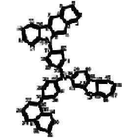 c1ccc2cc3c(cc2c1)c1ccccc1n3-c1ccc(N(c2ccc(-c3cccc4ccccc34)cc2)c2ccc3c(c2)sc2ccccc23)cc1